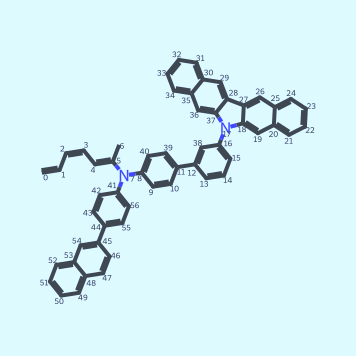 C=C/C=C\C=C(/C)N(c1ccc(-c2cccc(-n3c4cc5ccccc5cc4c4cc5ccccc5cc43)c2)cc1)c1ccc(-c2ccc3ccccc3c2)cc1